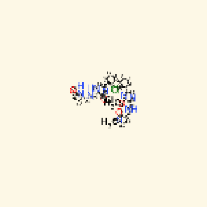 COc1nc(-c2cccc(-c3cccc(-c4cnc(CNC[C@@H]5CCC(=O)N5)c(OC)n4)c3Cl)c2Cl)cnc1CNCC1CCN(C)C1=O